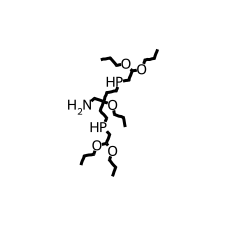 CCCOC(CPCCC(CN)(CCPCC(OCCC)OCCC)OCCC)OCCC